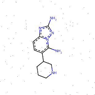 Nc1nc2ccc(C3CCCNC3)c(N)n2n1